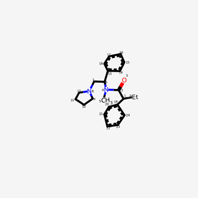 CCC(C(=O)N(C)C(CN1CCCC1)c1ccccc1)c1ccccc1